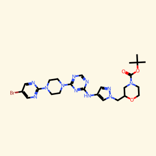 CC(C)(C)OC(=O)N1CCOC(Cn2cc(Nc3ncnc(N4CCN(c5ncc(Br)cn5)CC4)n3)cn2)C1